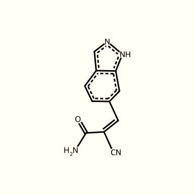 N#C/C(=C/c1ccc2cn[nH]c2c1)C(N)=O